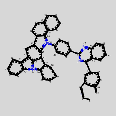 C/C=C\c1cc(-c2nc(-c3ccc(-n4c5c6ccccc6ccc5c5cc6c7ccccc7n7c8ccccc8c(c54)c67)cc3)nc3ccccc23)ccc1C